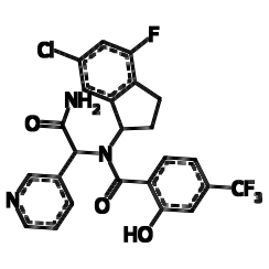 NC(=O)C(c1cccnc1)N(C(=O)c1ccc(C(F)(F)F)cc1O)C1CCc2c(F)cc(Cl)cc21